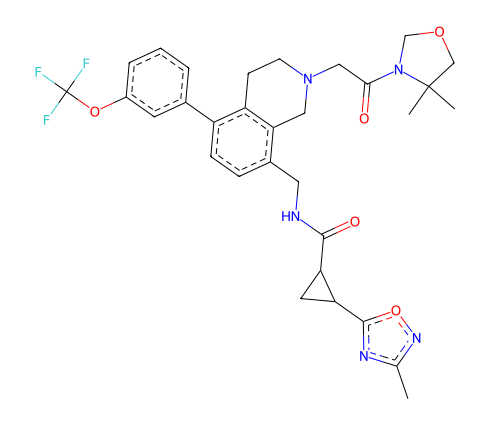 Cc1noc(C2CC2C(=O)NCc2ccc(-c3cccc(OC(F)(F)F)c3)c3c2CN(CC(=O)N2COCC2(C)C)CC3)n1